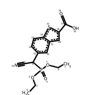 CCOP(=O)(OCC)C(C#N)c1ccc2sc(C(=O)O)cc2c1